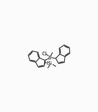 C[SiH](C)[Zr]([CH3])([Cl])([CH]1C=Cc2ccccc21)[CH]1C=Cc2ccccc21